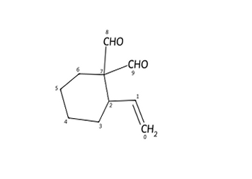 C=CC1CCCCC1(C=O)C=O